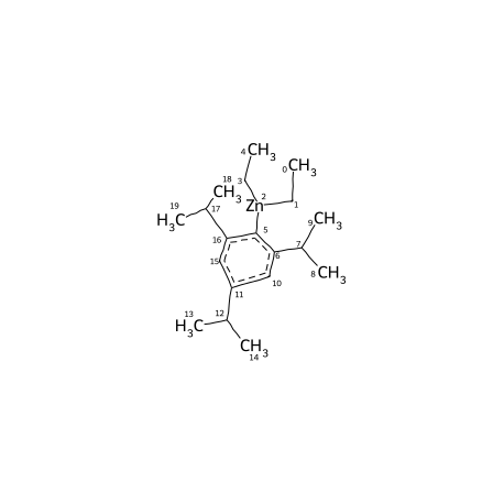 C[CH2][Zn]([CH2]C)[c]1c(C(C)C)cc(C(C)C)cc1C(C)C